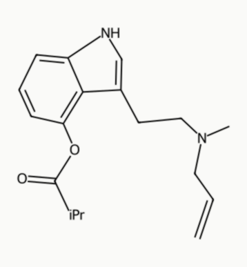 C=CCN(C)CCc1c[nH]c2cccc(OC(=O)C(C)C)c12